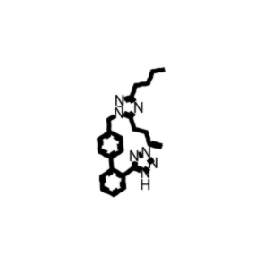 C=CCCc1nc(CCCC)nn1Cc1ccc(-c2ccccc2-c2nnn[nH]2)cc1